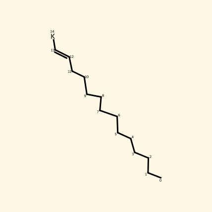 CCCCCCCCCCCCC=[CH][K]